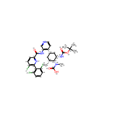 C[C@@H]1C[C@H](c2ccncc2NC(=O)c2ccc(F)c(-c3c(F)cccc3F)n2)C[C@H](NC(=O)OC(C)(C)C)[C@@H]1N(C)C(=O)O